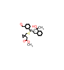 COC(=O)CC1(CS[C@H](CCc2ccccc2C(C)(C)O)c2cccc(C=O)c2)CC1